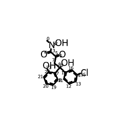 CN(O)C(=O)C(=O)CC(O)(c1cccc(Cl)c1)c1ccccc1O